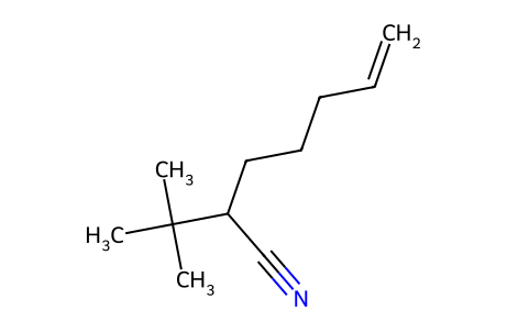 C=CCCCC(C#N)C(C)(C)C